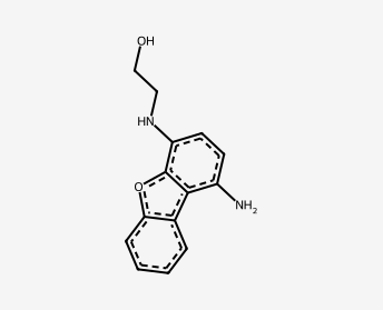 Nc1ccc(NCCO)c2oc3ccccc3c12